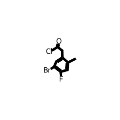 Cc1cc(F)c(Br)cc1CC(=O)Cl